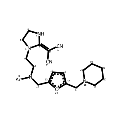 CC(=O)N(CCN1CCNC1=C(C#N)C#N)Cc1ccc(CN2CCCCC2)o1